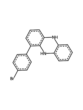 Brc1ccc(-c2cccc3c2Nc2ccccc2N3)cc1